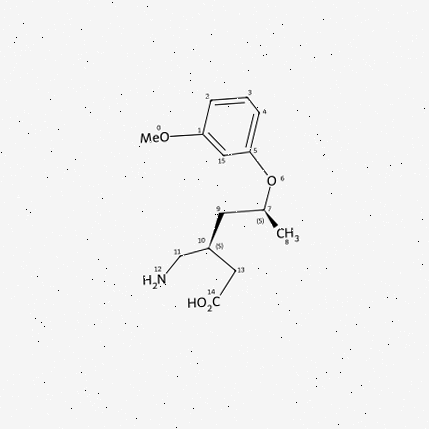 COc1cccc(O[C@@H](C)C[C@H](CN)CC(=O)O)c1